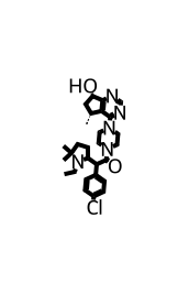 CCN1C(C(C(=O)N2CCN(c3ncnc4c3[C@H](C)C[C@H]4O)CC2)c2ccc(Cl)cc2)CCC1(C)C